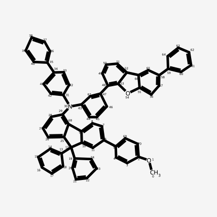 COc1ccc(-c2ccc3c(c2)C(c2ccccc2)(c2ccccc2)c2cccc(N(c4ccc(-c5ccccc5)cc4)c4cccc(-c5cccc6c5oc5ccc(-c7ccccc7)cc56)c4)c2-3)cc1